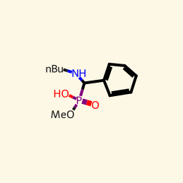 CCCCNC(c1ccccc1)P(=O)(O)OC